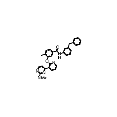 CNc1nccc(-c2cccnc2Oc2cc(C(=O)Nc3cccc(Cc4ccccc4)c3)ccc2C)n1